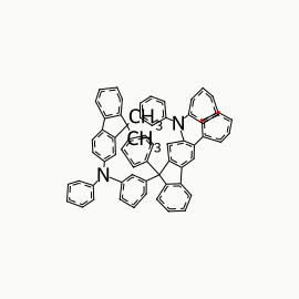 CC1(C)c2ccccc2-c2ccc(N(c3ccccc3)c3cccc(C4(c5ccccc5)c5ccccc5-c5cc(-c6ccccc6)c(N(c6ccccc6)c6ccccc6)cc54)c3)cc21